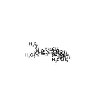 CCCCn1cc(CC)cc1-c1cc2ccc(OC(C)CC(C)(C)OC(=O)C(C)(CC(C)(C)C)C(C)(C)C)cc2o1